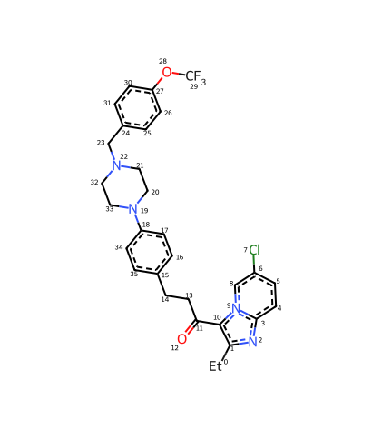 CCc1nc2ccc(Cl)cn2c1C(=O)CCc1ccc(N2CCN(Cc3ccc(OC(F)(F)F)cc3)CC2)cc1